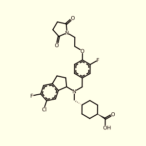 O=C1CCC(=O)N1CCOc1ccc(CN(C[C@H]2CC[C@H](C(=O)O)CC2)C2CCc3cc(F)c(Cl)cc32)cc1F